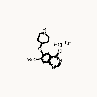 COc1cc2ncnc(Cl)c2cc1OC1CCNCC1.Cl.Cl